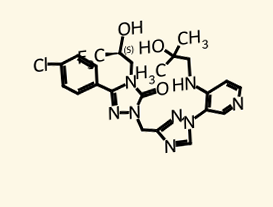 CC(C)(O)CNc1ccncc1-n1cnc(Cn2nc(-c3ccc(Cl)cc3)n(C[C@H](O)C(F)(F)F)c2=O)n1